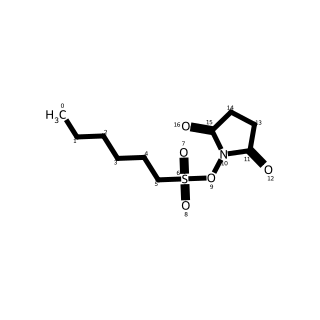 CCCCCCS(=O)(=O)ON1C(=O)CCC1=O